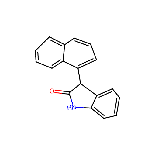 O=C1Nc2ccccc2C1c1cccc2ccccc12